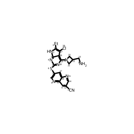 CCc1[nH]c2nc(Sc3cnc4cc(C#N)cnc4c3)nc(N3CC(CN)C3)c2c1Cl